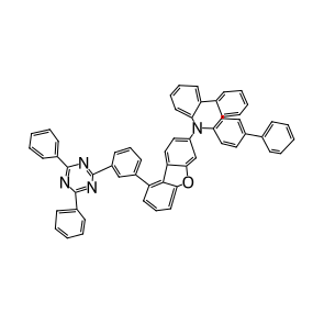 c1ccc(-c2ccc(N(c3ccc4c(c3)oc3cccc(-c5cccc(-c6nc(-c7ccccc7)nc(-c7ccccc7)n6)c5)c34)c3ccccc3-c3ccccc3)cc2)cc1